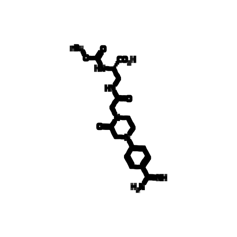 CCCCOC(=O)N[C@@H](CNC(=O)CN1CCN(c2ccc(C(=N)N)cc2)CC1=O)C(=O)O